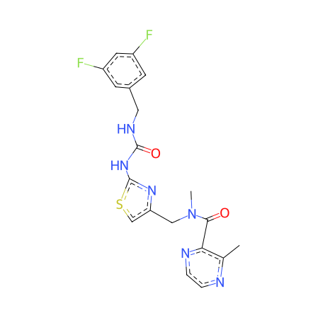 Cc1nccnc1C(=O)N(C)Cc1csc(NC(=O)NCc2cc(F)cc(F)c2)n1